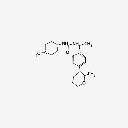 CC(NC(=O)NC1CCN(C)CC1)c1ccc(C2CCCOC2C)cc1